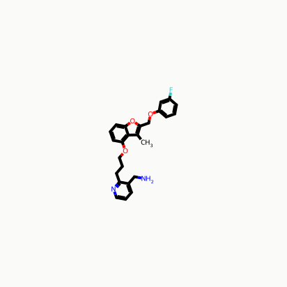 Cc1c(COc2cccc(F)c2)oc2cccc(OCCCc3ncccc3CN)c12